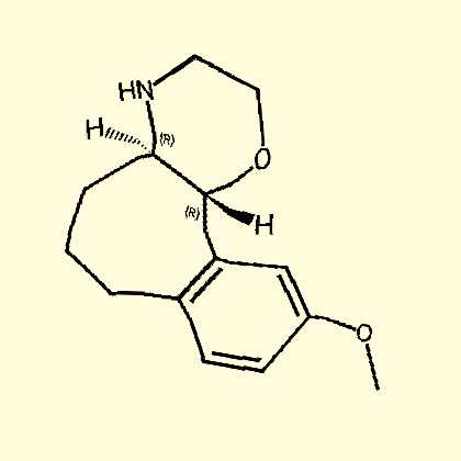 COc1ccc2c(c1)[C@H]1OCCN[C@@H]1CCC2